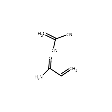 C=C(C#N)C#N.C=CC(N)=O